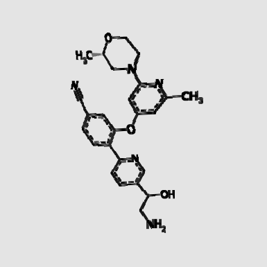 Cc1cc(Oc2cc(C#N)ccc2-c2ccc(C(O)CN)cn2)cc(N2CCO[C@@H](C)C2)n1